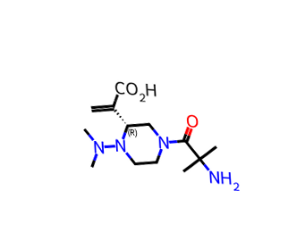 C=C(C(=O)O)[C@@H]1CN(C(=O)C(C)(C)N)CCN1N(C)C